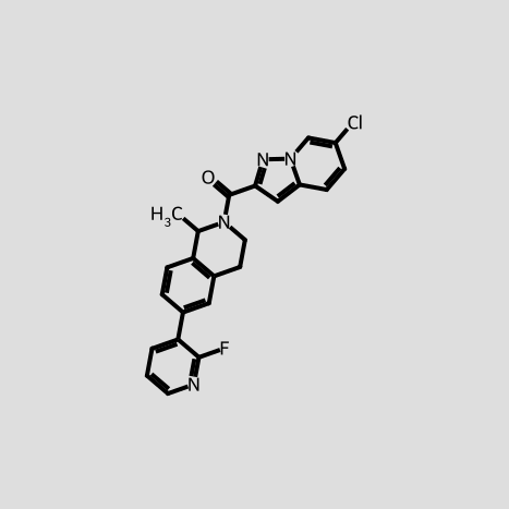 CC1c2ccc(-c3cccnc3F)cc2CCN1C(=O)c1cc2ccc(Cl)cn2n1